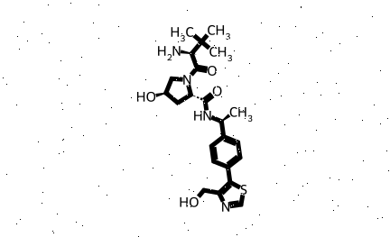 C[C@H](NC(=O)[C@@H]1C[C@@H](O)CN1C(=O)[C@@H](N)C(C)(C)C)c1ccc(-c2scnc2CO)cc1